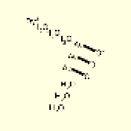 CC(=O)[O-].CC(=O)[O-].CC(=O)[O-].O.O.O.O.O.O.[Dy+3]